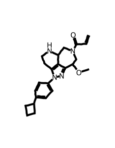 C=CC(=O)N1CC2NCCc3c2c(nn3-c2ccc(C3CCC3)cc2)C(OC)C1